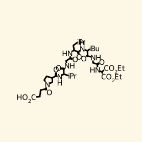 CCOC(=O)C(NC(=O)CNC(=O)C(NC(=O)C(CC(C)C)NC(=O)CNC(=O)C(NC(=O)C1CCN(C(=O)CCC(=O)O)C1)C(C)C)C(C)CC)C(=O)OCC